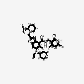 CCN(c1cc2oc(CN3CCCCC3N(C)C)nc2c(C(=O)NCc2c(C)cc(C)[nH]c2=O)c1C)C1CCOCC1